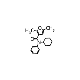 Cc1cc(C(=O)N(c2ccccc2)C2CCCCC2)c(C)o1